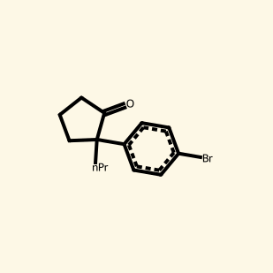 CCCC1(c2ccc(Br)cc2)CCCC1=O